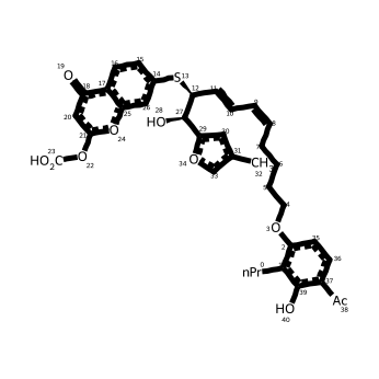 CCCc1c(OCCCC/C=C\C=C\[C@H](Sc2ccc3c(=O)cc(OC(=O)O)oc3c2)[C@H](O)c2cc(C)co2)ccc(C(C)=O)c1O